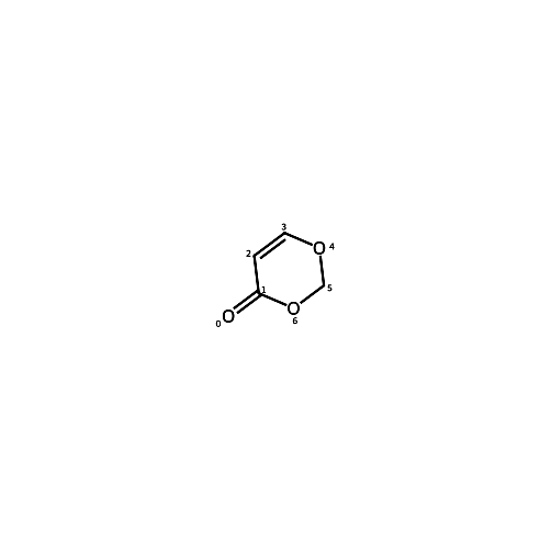 O=C1C=COCO1